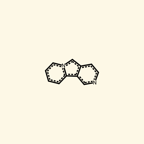 c1ccn2cc3ccncc3c2c1